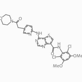 COc1cc(OC)c(Cl)c(NC(=O)c2csc3c(Nc4ccc(CC(=O)N5CCOCC5)cn4)ncnc23)c1Cl